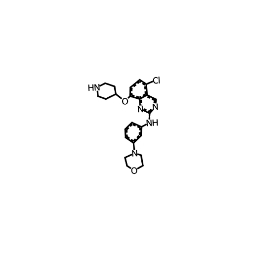 Clc1ccc(OC2CCNCC2)c2nc(Nc3cccc(N4CCOCC4)c3)ncc12